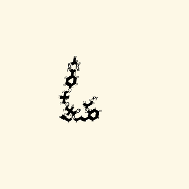 C#CCN(C/C=C/c1ccccc1SC(C)CC(C)C)C(=O)C(C)(C)COCC(C)(C)COc1ccc(-c2nnc(C)nn2)cc1